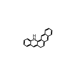 C1=C2CC=c3cc4ccccc4cc3=C2Nc2ccccc21